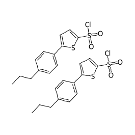 CCCc1ccc(-c2ccc(S(=O)(=O)Cl)s2)cc1.CCCc1ccc(-c2ccc(S(=O)(=O)Cl)s2)cc1